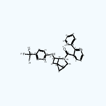 O=C(c1cccnc1-c1ccccn1)N1CC2CC23CC(Nc2ccc(C(F)(F)F)cn2)C13